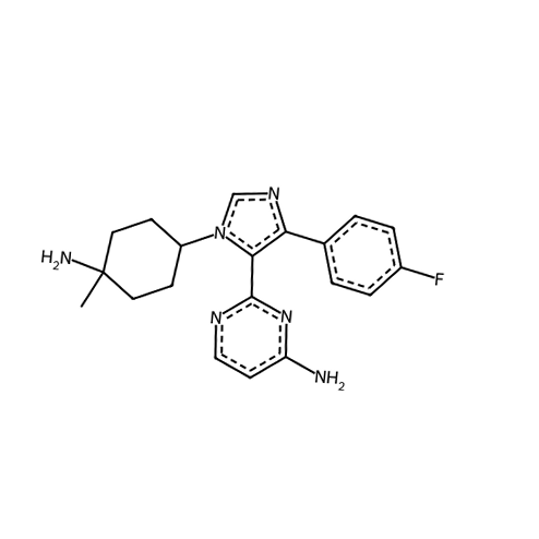 CC1(N)CCC(n2cnc(-c3ccc(F)cc3)c2-c2nccc(N)n2)CC1